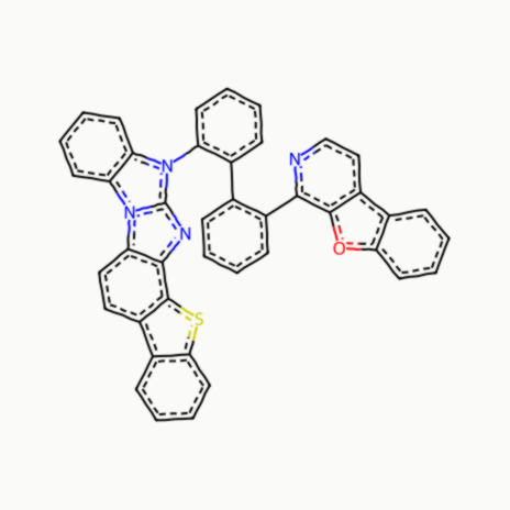 c1ccc(-c2nccc3c2oc2ccccc23)c(-c2ccccc2-n2c3ccccc3n3c4ccc5c6ccccc6sc5c4nc23)c1